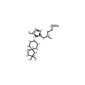 CNCCN(C)Cc1nnn(C)c1[C@H]1CC[C@@]2(CC1)CC(C)(C)CO2